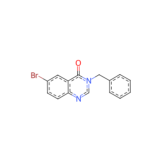 O=c1c2cc(Br)ccc2ncn1Cc1ccccc1